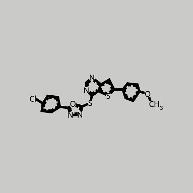 COc1ccc(-c2cc3ncnc(Sc4nnc(-c5ccc(Cl)cc5)o4)c3s2)cc1